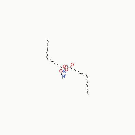 CCCCCCCC/C=C\CCCCCCCC(=O)C1COC(C(=O)CCCCCCC/C=C\CCCCCCCC)(N2CCN(C)CC2)O1